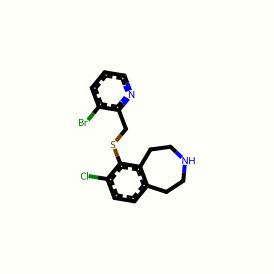 Clc1ccc2c(c1SCc1ncccc1Br)CCNCC2